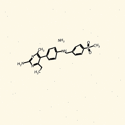 CCc1nc(N)nc(C)c1-c1ccc(NCc2ccc(S(C)(=O)=O)cc2)cc1.N